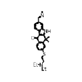 CCN(CC)CCSc1ccc2c(c1)C(C)(C)c1[nH]c3cc(C=NC)ccc3c1C2=O